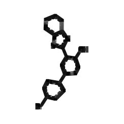 Oc1ccc(-c2ccc(Br)cc2)cc1-c1nc2ccccc2s1